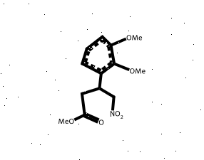 COC(=O)CC(C[N+](=O)[O-])c1cccc(OC)c1OC